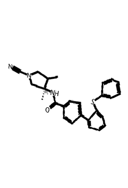 CC1CN(C#N)C[C@]1(C)NC(=O)c1ccc(-c2ccccc2Sc2ccccc2)cc1